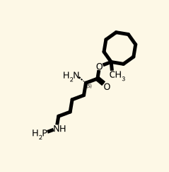 CC1(OC(=O)[C@@H](N)CCCCNP)CCCCCCC1